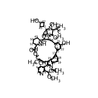 CCn1c(-c2cccnc2[C@H](C)OC)c2c3cc(ccc31)-c1cc(O)cc(c1)C[C@H](NC(=O)C(C(C)C)N(C)C(=O)[C@H]1C[C@@H](O)C1)C(=O)N1CCC[C@H](N1)C(=O)OCC(C)(C)C2